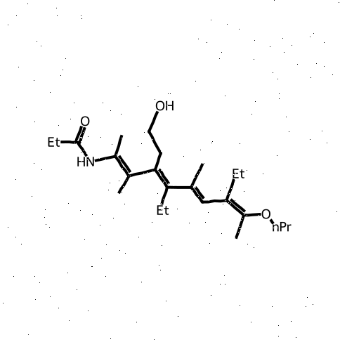 CCCO/C(C)=C(/C=C(C)/C(CC)=C(CCO)/C(C)=C(\C)NC(=O)CC)CC